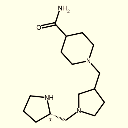 NC(=O)C1CCN(CC2CCN(C[C@@H]3CCCN3)C2)CC1